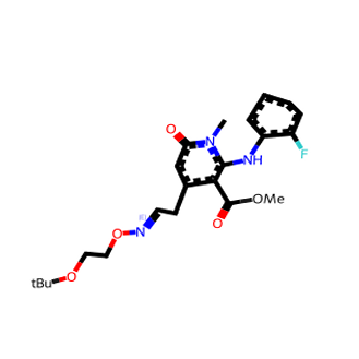 COC(=O)c1c(C/C=N/OCCOC(C)(C)C)cc(=O)n(C)c1Nc1ccccc1F